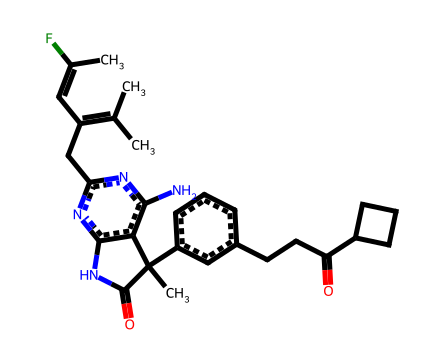 CC(C)=C(/C=C(\C)F)Cc1nc(N)c2c(n1)NC(=O)C2(C)c1cccc(CCC(=O)C2CCC2)c1